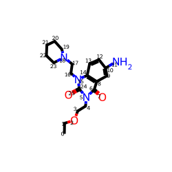 CCOCCn1c(=O)c2cc(N)ccc2n(CCN2CCCCC2)c1=O